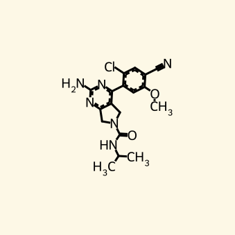 COc1cc(-c2nc(N)nc3c2CN(C(=O)NC(C)C)C3)c(Cl)cc1C#N